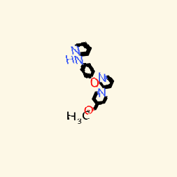 COCC1CCN(c2cccnc2Oc2ccc(Nc3ccccn3)cc2)CC1